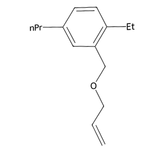 C=CCOCc1cc(CCC)ccc1CC